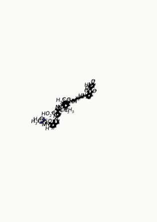 C/C=c1/nc(NC(=O)c2cccc3c2CN(c2ccc(-c4cnn(CC56CC(C)CC(C(=O)NCCCCCCNc7cccc8c7C(=O)N(C7CCC(=O)NC7=O)C8=O)(CC(C)C5)C6)c4C)c(C(=O)O)n2)CC3)s/c1=C/C